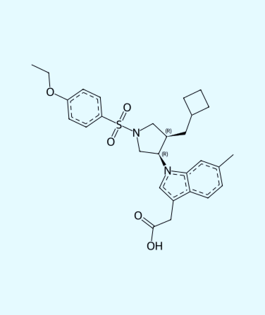 CCOc1ccc(S(=O)(=O)N2C[C@@H](CC3CCC3)[C@@H](n3cc(CC(=O)O)c4ccc(C)cc43)C2)cc1